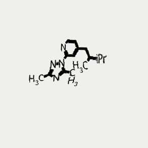 Cc1nc(C)n(-c2cc(CC(C)C(C)C)ccn2)n1